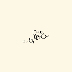 CC(C)(C)c1cnc(-c2nn(-c3ccc(F)cc3F)c3c2C2CCC3(C)C2(C)C)o1